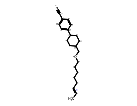 C/C=C/CCCCCOCC1CCC(c2ccc(C#N)cc2)CC1